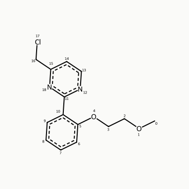 COCCOc1ccccc1-c1nccc(CCl)n1